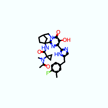 CC(=O)N(C)C1(C(=O)NC23CCC(Cn4c2nc(-c2ncc(Cc5ccc(F)c(C)c5)[nH]2)c(O)c4=O)C3)CC1